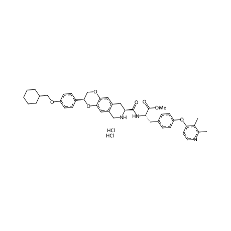 COC(=O)[C@H](Cc1ccc(Oc2ccnc(C)c2C)cc1)NC(=O)[C@@H]1Cc2cc3c(cc2CN1)O[C@@H](c1ccc(OCC2CCCCC2)cc1)CO3.Cl.Cl